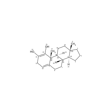 C[C@@]12CCC[C@H]1[C@@H]1CCC3=CCC(O)=C(O)[C@]3(C)[C@H]1CC2